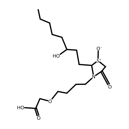 CCCCCC(O)CCC1N(CCCCOCC(=O)O)C(=O)C[S+]1[O-]